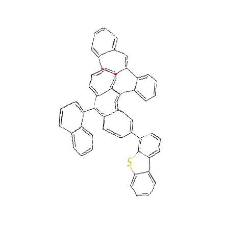 c1ccc(-c2c3ccccc3c(-c3cccc4ccccc34)c3ccc(-c4cccc5c4sc4ccccc45)cc23)c(-c2ccc3ccccc3c2)c1